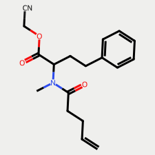 C=CCCC(=O)N(C)C(CCc1ccccc1)C(=O)OCC#N